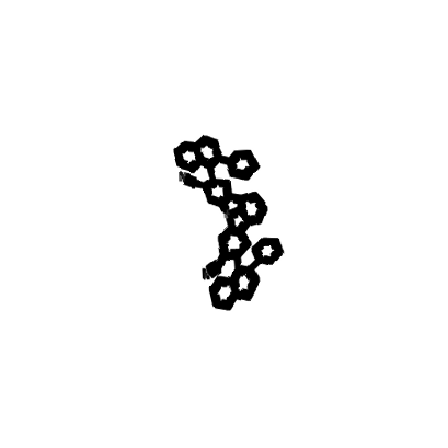 N#Cc1cc2c(cc1-c1c(-c3ccccc3)ccc3ccccc13)c1cccc3c4cc(-c5c(-c6ccccc6)ccc6ccccc56)c(C#N)cc4n2c13